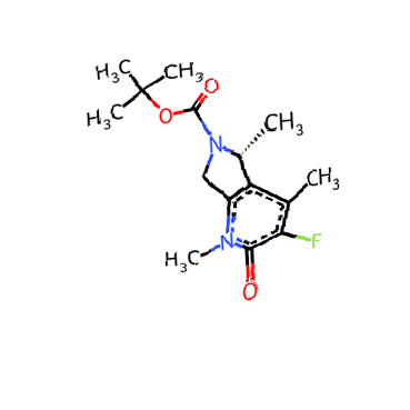 Cc1c2c(n(C)c(=O)c1F)CN(C(=O)OC(C)(C)C)[C@@H]2C